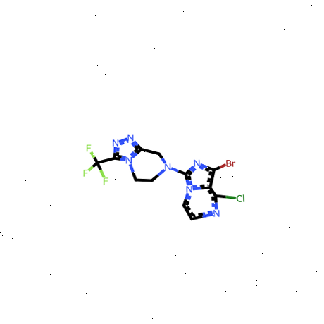 FC(F)(F)c1nnc2n1CCN(c1nc(Br)c3c(Cl)nccn13)C2